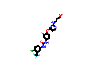 O=C(Nc1ccc(Oc2ccnc(NCCCO)n2)c(F)c1)Nc1ccc(Cl)c(C(F)(F)F)c1